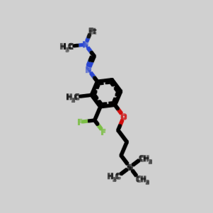 CCN(C)C=Nc1ccc(OCCC[Si](C)(C)C)c(C(F)F)c1C